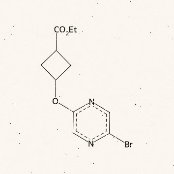 CCOC(=O)C1CC(Oc2cnc(Br)cn2)C1